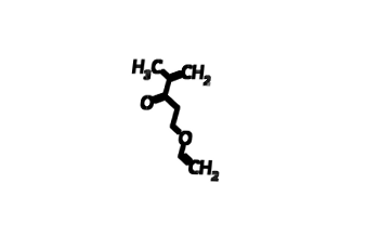 C=COCCC(=O)C(=C)C